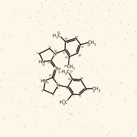 Cc1cc(C)c(N2CCN[C]2=[Ru]=[C]2NCCN2c2c(C)cc(C)cc2C)c(C)c1